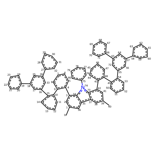 Cc1cc(-c2ccccc2-c2ccccc2-c2cc(-c3ccccc3)cc(-c3ccccc3)c2)c2c(c1)c1cc(C)cc(-c3ccccc3-c3ccccc3-c3cc(-c4ccccc4)cc(-c4ccccc4)c3)c1n2-c1ccccc1